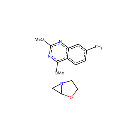 C1CN2CC2O1.COc1nc(OC)c2ccc(C)cc2n1